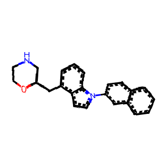 c1ccc2cc(-n3ccc4c(CC5CNCCO5)cccc43)ccc2c1